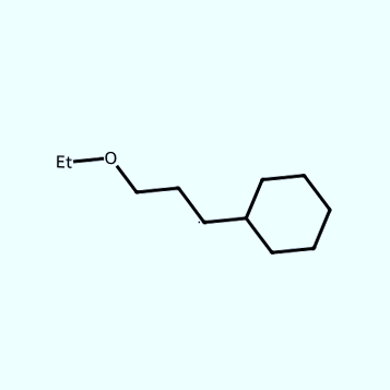 CCOCC[CH]C1CCCCC1